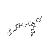 O=C1CCCN1CCOc1cc(N2CCN(C(=O)Cn3nc(-c4ccc(F)cc4)nc3-c3ccc(F)cc3)CC2)ncn1